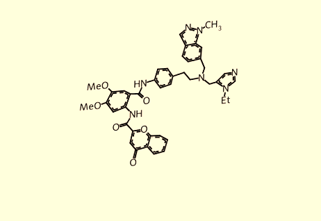 CCn1cncc1CN(CCc1ccc(NC(=O)c2cc(OC)c(OC)cc2NC(=O)c2cc(=O)c3ccccc3o2)cc1)Cc1ccc2cnn(C)c2c1